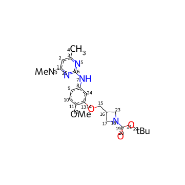 CNc1cc(C)nc(Nc2ccc(OC)c(OCC3CN(C(=O)OC(C)(C)C)C3)c2)n1